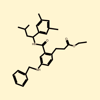 CCOC(=O)CCc1ccc(NCc2ccccc2)cc1C(=O)NC(CC(C)C)c1cc(C)cc(C)c1